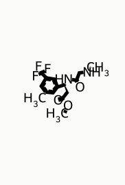 CNCC(=O)N[C@@H](CC(=O)OC)c1cc(C)cc(C(F)(F)F)c1